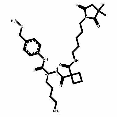 BOCc1ccc(NC(=O)[C@H](CCCCN)NC(=O)C2(C(=O)NCCCCCN3C(=O)CC(C)(C)C3=O)CCC2)cc1